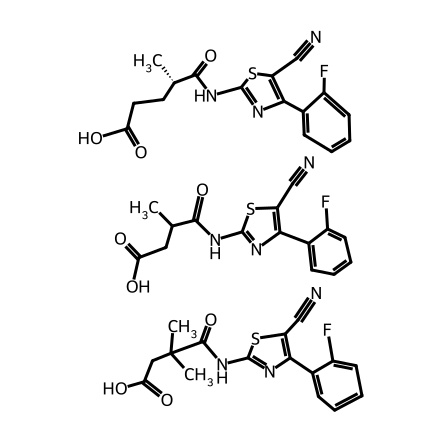 CC(C)(CC(=O)O)C(=O)Nc1nc(-c2ccccc2F)c(C#N)s1.CC(CC(=O)O)C(=O)Nc1nc(-c2ccccc2F)c(C#N)s1.C[C@@H](CCC(=O)O)C(=O)Nc1nc(-c2ccccc2F)c(C#N)s1